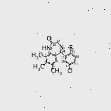 Cc1cc2c(c(C)c1C)NC(=O)CN=C2c1cc(Cl)ccc1F